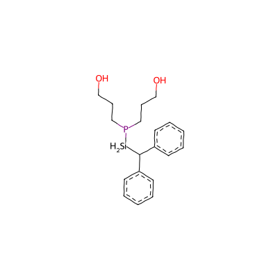 OCCCP(CCCO)[SiH2]C(c1ccccc1)c1ccccc1